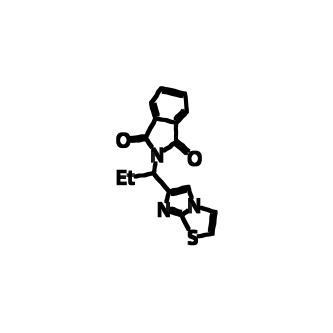 CCC(c1cn2ccsc2n1)N1C(=O)c2ccccc2C1=O